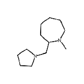 CN1CCCCCC1CN1CCCC1